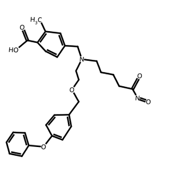 Cc1cc(CN(CCCCC(=O)N=O)CCOCc2ccc(Oc3ccccc3)cc2)ccc1C(=O)O